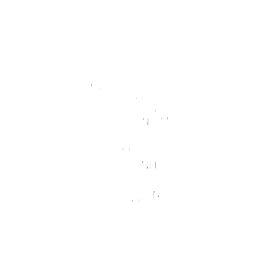 Cc1ccc(S(=O)(=O)N(CC(=O)NCc2ncco2)c2cccc(Cl)c2C)cc1